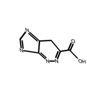 O=C(O)C1=NN=C2N=CN=C2C1